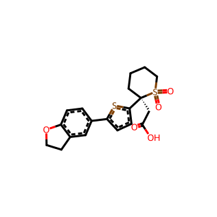 O=C(O)C[C@]1(c2ccc(-c3ccc4c(c3)CCO4)s2)CCCCS1(=O)=O